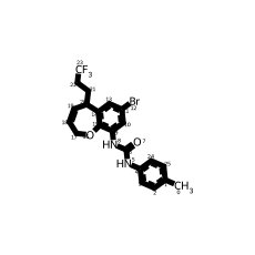 Cc1ccc(NC(=O)Nc2cc(Br)cc3c2OCC=CC3CCC(F)(F)F)cc1